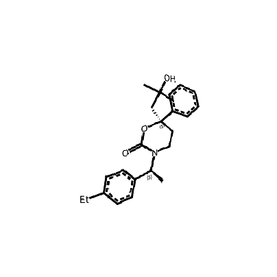 CCc1ccc([C@H](C)N2CC[C@](CC(C)(C)O)(c3ccccc3)OC2=O)cc1